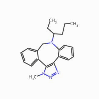 CCCC(CC)N1Cc2ccccc2-c2c(nnn2C)-c2ccccc21